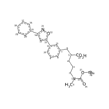 CN(CCCC(Cc1cccc(-c2cc(-c3ccccc3)no2)c1)C(=O)O)C(=O)OC(C)(C)C